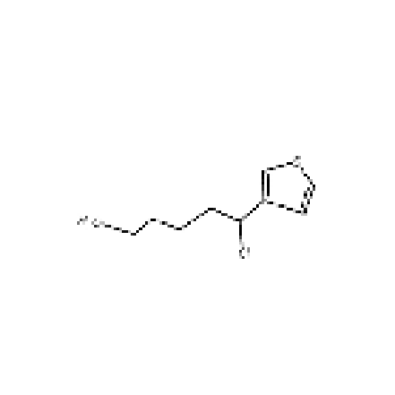 CCCCCC(Cl)c1ccsc1